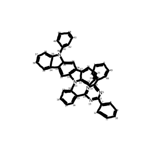 c1ccc(-c2nc(-c3ccccc3)nc(-c3ccccc3-n3c4ccccc4c4cc5c(cc43)c3ccccc3n5-c3ccccc3)n2)cc1